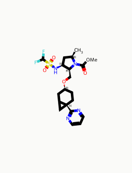 COC(=O)N1[C@H](C)C[C@H](NS(=O)(=O)C(F)F)[C@@H]1CO[C@@H]1CC[C@]2(c3ncccn3)CC2C1